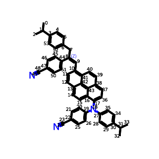 CC(C)c1ccc(C/C(=C/c2ccc3ccc4c(N(c5ccc(C#N)cc5)c5ccc(C(C)C)cc5)ccc5ccc2c3c54)c2ccc(C#N)cc2)cc1